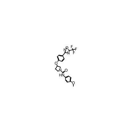 COc1ccc(NC(=O)N2CCC(Oc3ccc(-c4noc(C(F)(F)F)n4)cc3)C2)cc1